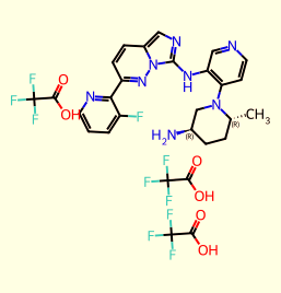 C[C@@H]1CC[C@@H](N)CN1c1ccncc1Nc1ncc2ccc(-c3ncccc3F)nn12.O=C(O)C(F)(F)F.O=C(O)C(F)(F)F.O=C(O)C(F)(F)F